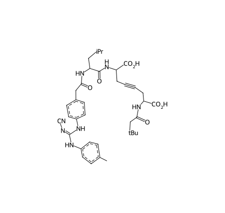 Cc1ccc(NC(=NC#N)Nc2ccc(CC(=O)NC(CC(C)C)C(=O)NC(CC#CCC(NC(=O)CC(C)(C)C)C(=O)O)C(=O)O)cc2)cc1